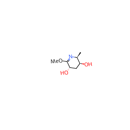 COC1=N[C@@H](C)[C@@H](O)C[C@@H]1O